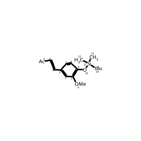 COc1cc(C=CC(C)=O)ccc1O[Si](C)(C)C(C)(C)C